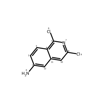 Nc1ccc2c(Cl)nc(Cl)cc2c1